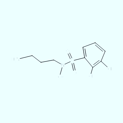 CN(CCCN)S(=O)(=O)c1cccc(Cl)c1Cl